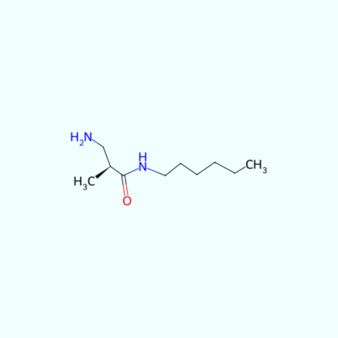 CCCCCCNC(=O)[C@@H](C)CN